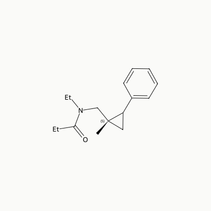 CCC(=O)N(CC)C[C@@]1(C)CC1c1ccccc1